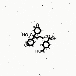 O=C(O)CCCC(C(=O)O)(C1CCC2OC2C1)C1CCC2OC2C1.OCC1CCC(CO)CC1